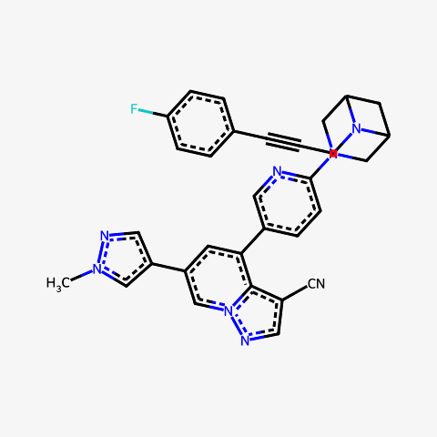 Cn1cc(-c2cc(-c3ccc(N4CC5CC(C4)N5CC#Cc4ccc(F)cc4)nc3)c3c(C#N)cnn3c2)cn1